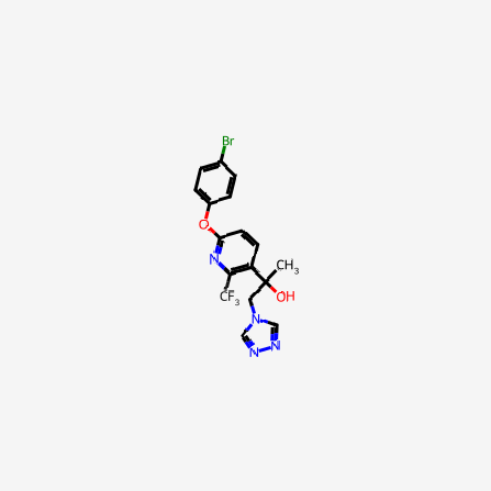 CC(O)(Cn1cnnc1)c1ccc(Oc2ccc(Br)cc2)nc1C(F)(F)F